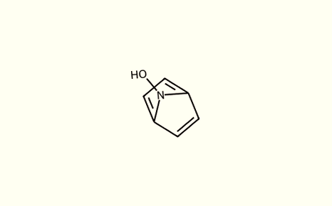 On1c2ccc1cc2